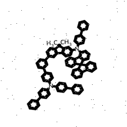 CC1(C)c2ccc(-c3cccc(-c4ccc(N(c5ccc(-c6ccccc6)cc5)c5ccc(-c6ccccc6)cc5)cc4)c3)cc2-c2ccc(N(c3ccc(-c4ccccc4)cc3)c3cccc4c3-c3ccccc3C43c4ccccc4-c4ccccc43)cc21